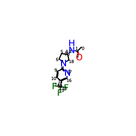 CC(=O)N[C@H]1CCN(c2ccc(C(F)(F)F)cn2)C1